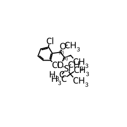 CC[C@@H](O[Si](C)(C)C(C)(C)C)[C@H](OC)c1c(Cl)cccc1Cl